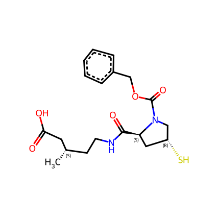 C[C@@H](CCNC(=O)[C@@H]1C[C@@H](S)CN1C(=O)OCc1ccccc1)CC(=O)O